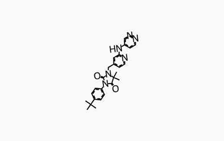 CC(C)(C)c1ccc(N2C(=O)N(Cc3ccnc(Nc4ccnnc4)c3)C(C)(C)C2=O)cc1